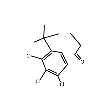 CC(C)(C)c1ccc(Cl)c(Cl)c1Cl.CCC=O